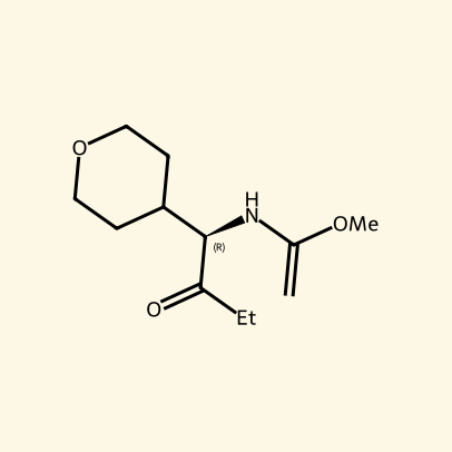 C=C(N[C@@H](C(=O)CC)C1CCOCC1)OC